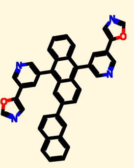 c1ccc2cc(-c3ccc4c(-c5cncc(-c6cnco6)c5)c5ccccc5c(-c5cncc(-c6cnco6)c5)c4c3)ccc2c1